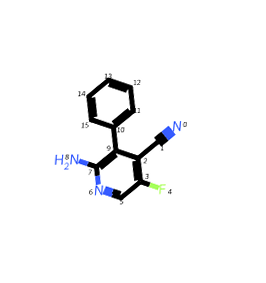 N#Cc1c(F)cnc(N)c1-c1ccccc1